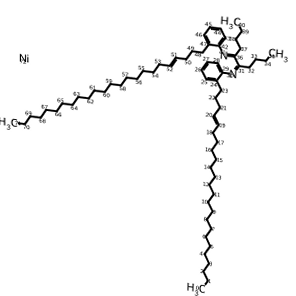 CCCCCCCCCCCCCCCCCCCC=CCCCc1ccccc1N=C(CCCC)C(CCCC)=Nc1ccccc1CCCC=CCCCCCCCCCCCCCCCCCCC.[Ni]